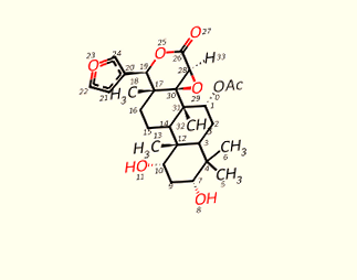 CC(=O)O[C@@H]1CC2C(C)(C)[C@H](O)C[C@H](O)[C@]2(C)C2CC[C@]3(C)[C@@H](c4ccoc4)OC(=O)[C@H]4O[C@]43[C@@]21C